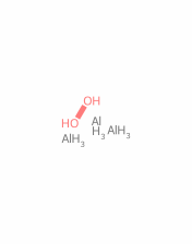 OO.[AlH3].[AlH3].[AlH3]